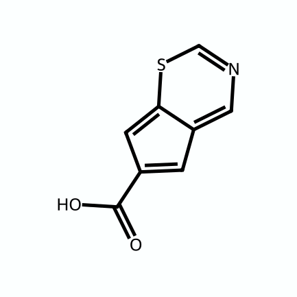 O=C(O)c1cc2cncsc-2c1